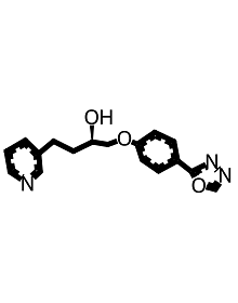 O[C@H](CCc1cccnc1)COc1ccc(-c2nnco2)cc1